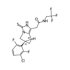 O=C(Cc1[nH]c(=S)n2c1[C@@H]1C[C@]1(c1c(F)ccc(Cl)c1F)C2)NCC(F)(F)F